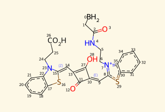 BCC(=O)NCC[n+]1c(/C=C2/C(=O)C(/C=C3\Sc4ccccc4N3CCC(=O)O)=C2O)sc2ccccc21